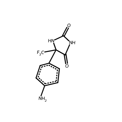 Nc1ccc(C2(C(F)(F)F)NC(=O)NC2=O)cc1